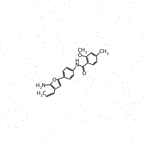 C/C=C\c1cc(-c2ccc(NC(=O)c3ccc(C)cc3OC)cc2)oc1N